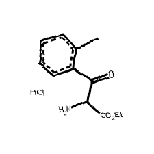 CCOC(=O)C(N)C(=O)c1ccccc1C.Cl